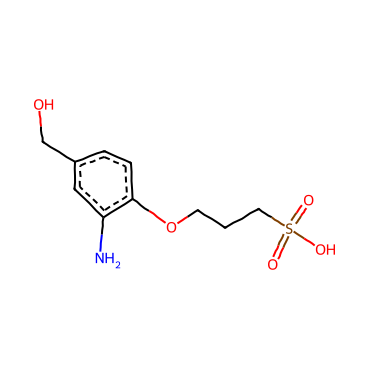 Nc1cc(CO)ccc1OCCCS(=O)(=O)O